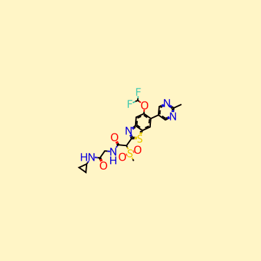 Cc1ncc(-c2cc3sc(C(C(=O)NCC(=O)NC4CC4)S(C)(=O)=O)nc3cc2OC(F)F)cn1